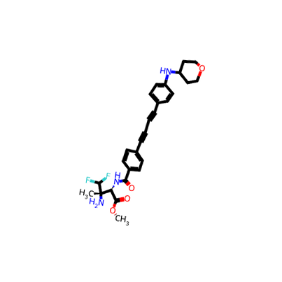 COC(=O)[C@@H](NC(=O)c1ccc(C#CC#Cc2ccc(NC3CCOCC3)cc2)cc1)[C@](C)(N)C(F)F